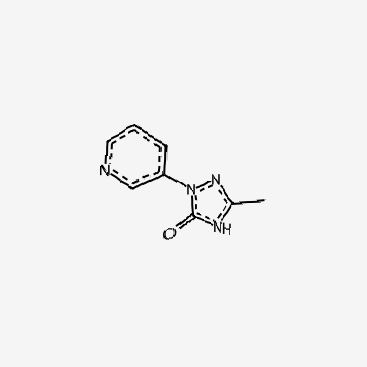 Cc1nn(-c2cccnc2)c(=O)[nH]1